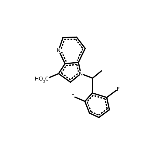 CC(c1c(F)cccc1F)n1cc(C(=O)O)c2ncccc21